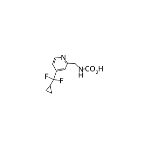 O=C(O)NCc1cc(C(F)(F)C2CC2)ccn1